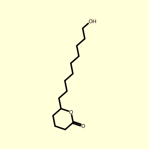 O=C1CCCC(CCCCCCCCCO)O1